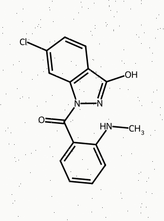 CNc1ccccc1C(=O)n1nc(O)c2ccc(Cl)cc21